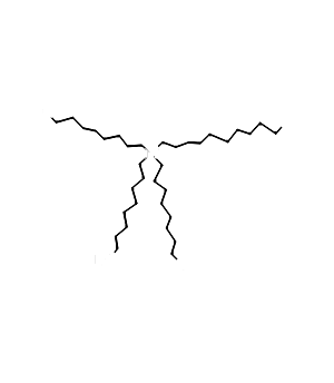 CCCCCCCCCCC[N+](CCCCCCCCC)(CCCCCCCCC)CCCCCCCCC